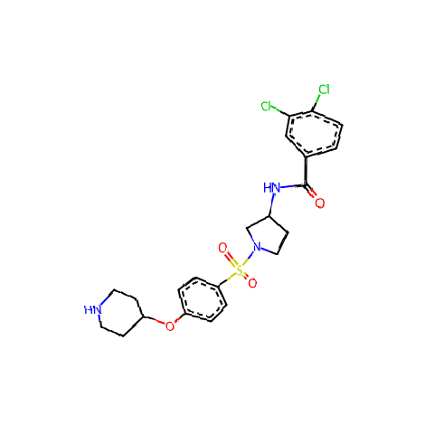 O=C(NC1CCN(S(=O)(=O)c2ccc(OC3CCNCC3)cc2)C1)c1ccc(Cl)c(Cl)c1